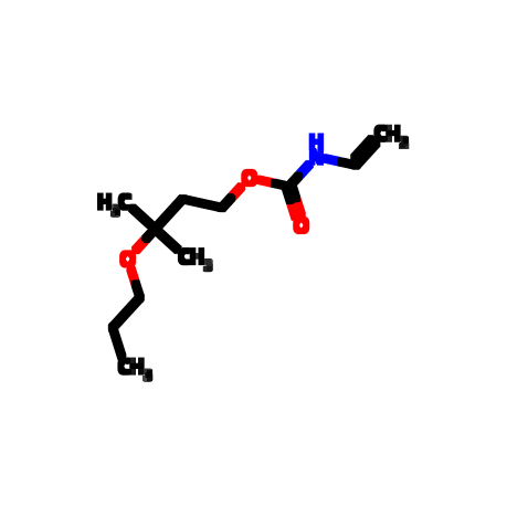 C=CNC(=O)OCCC(C)(C)OCCC